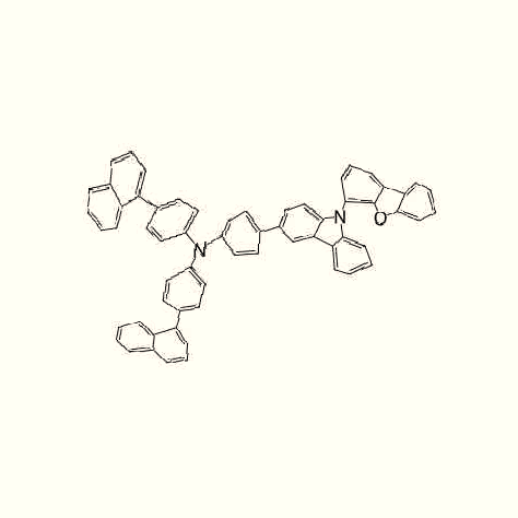 c1ccc2c(-c3ccc(N(c4ccc(-c5ccc6c(c5)c5ccccc5n6-c5cccc6c5oc5ccccc56)cc4)c4ccc(-c5cccc6ccccc56)cc4)cc3)cccc2c1